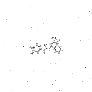 Cn1nc(CC(=O)Nc2ccc(Cl)c(F)c2)c2ccccc2c1=O